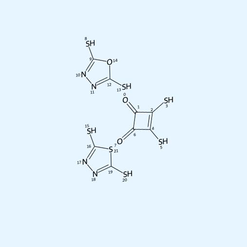 O=c1c(S)c(S)c1=O.Sc1nnc(S)o1.Sc1nnc(S)s1